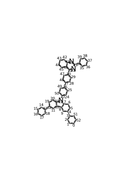 c1ccc(-c2ccc3c(c2)c2cc(-c4ccccc4)ccc2n3-c2ccc(-c3ccc(-c4nc(-c5ccccc5)nc5ccccc45)cc3)cc2)cc1